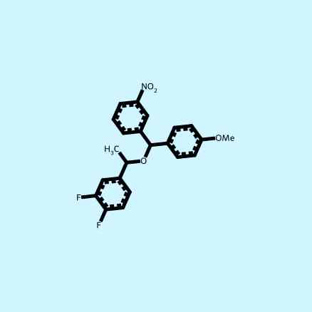 COc1ccc(C(OC(C)c2ccc(F)c(F)c2)c2cccc([N+](=O)[O-])c2)cc1